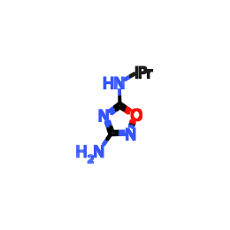 CC(C)Nc1nc(N)no1